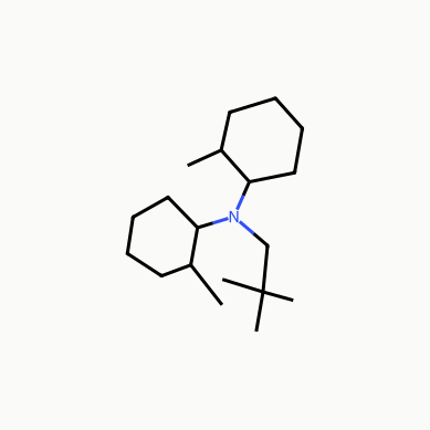 CC1CCCCC1N(CC(C)(C)C)C1CCCCC1C